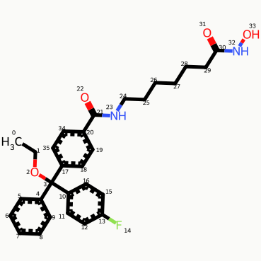 CCOC(c1ccccc1)(c1ccc(F)cc1)c1ccc(C(=O)NCCCCCCC(=O)NO)cc1